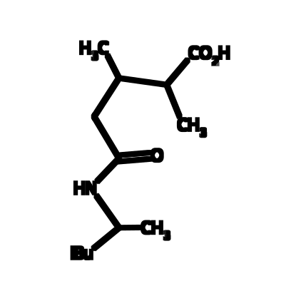 CCC(C)C(C)NC(=O)CC(C)C(C)C(=O)O